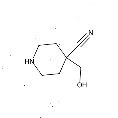 N#CC1(CO)CCNCC1